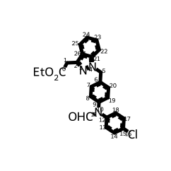 CCOC(=O)Cc1nn(Cc2ccc(N(C=O)c3ccc(Cl)cc3)cc2)c2ccccc12